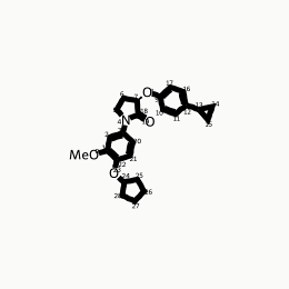 COc1cc(N2CC[C@H](Oc3ccc(C4CC4)cc3)C2=O)ccc1OC1CCCC1